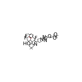 Cc1ccc([C@H](F)c2c(C3CCN(c4ncc(OCC5COC(C)(C)O5)cn4)CC3)nc3c(c2C2CCC(F)(F)CC2)[C@@H](O)CC(C)(C)C3)cc1